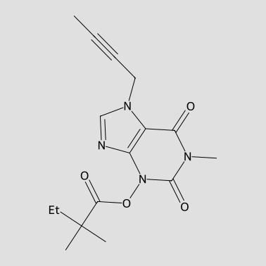 CC#CCn1cnc2c1c(=O)n(C)c(=O)n2OC(=O)C(C)(C)CC